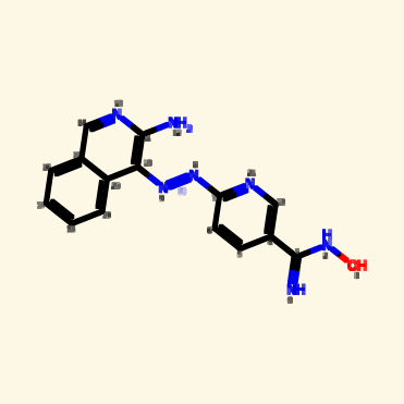 N=C(NO)c1ccc(/N=N/c2c(N)ncc3ccccc23)nc1